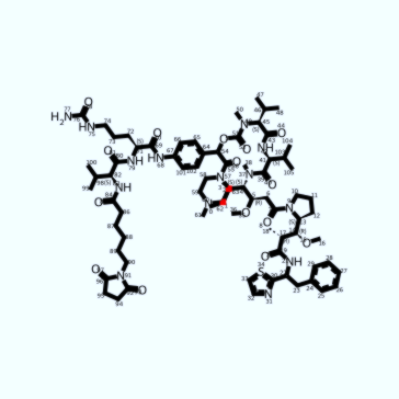 CC[C@H](C)[C@@H]([C@@H](CC(=O)N1CCC[C@H]1[C@H](OC)[C@@H](C)C(=O)NC(Cc1ccccc1)c1nccs1)OC)N(C)C(=O)[C@@H](NC(=O)[C@H](C(C)C)N(C)C(=O)OC(C(=O)N1CCN(C)CC1)c1ccc(NC(=O)[C@H](CCCNC(N)=O)NC(=O)[C@@H](NC(=O)CCCCCN2C(=O)CCC2=O)C(C)C)cc1)C(C)C